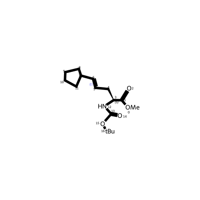 COC(=O)[C@H](C/C=C/C1CCCC1)NC(=O)OC(C)(C)C